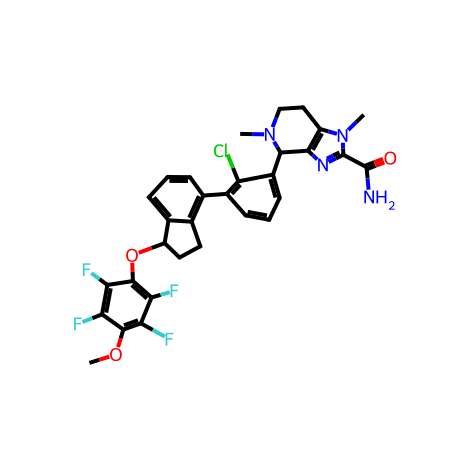 COc1c(F)c(F)c(OC2CCc3c(-c4cccc(C5c6nc(C(N)=O)n(C)c6CCN5C)c4Cl)cccc32)c(F)c1F